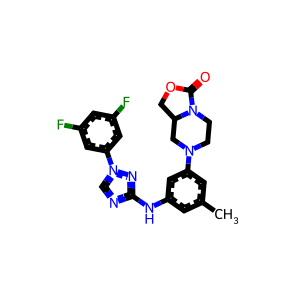 Cc1cc(Nc2ncn(-c3cc(F)cc(F)c3)n2)cc(N2CCN3C(=O)OCC3C2)c1